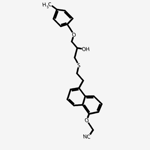 Cc1ccc(OCC(O)CSCCc2cccc3c(OCC#N)cccc23)cc1